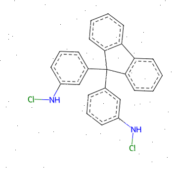 ClNc1cccc(C2(c3cccc(NCl)c3)c3ccccc3-c3ccccc32)c1